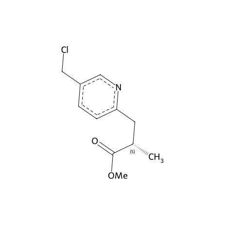 COC(=O)[C@@H](C)Cc1ccc(CCl)cn1